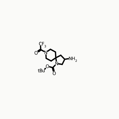 CC(C)(C)OC(=O)N1CC(N)CC12CCN(C(=O)C(F)(F)F)CC2